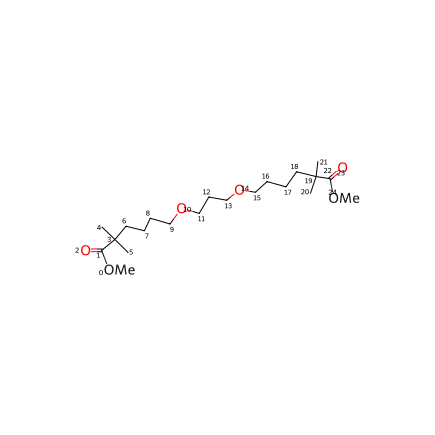 COC(=O)C(C)(C)CCCCOCCCOCCCCC(C)(C)C(=O)OC